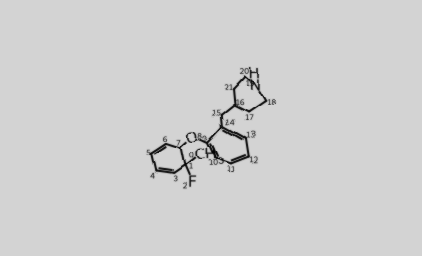 CC1(F)C=CC=CC1Oc1ccccc1CC1CCNCC1